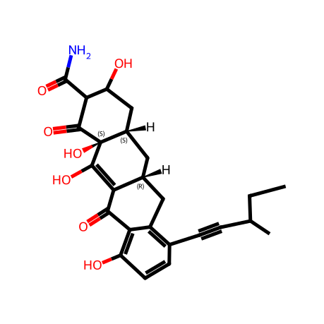 CCC(C)C#Cc1ccc(O)c2c1C[C@H]1C[C@H]3CC(O)C(C(N)=O)C(=O)[C@@]3(O)C(O)=C1C2=O